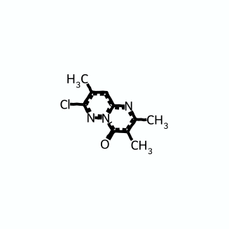 Cc1cc2nc(C)c(C)c(=O)n2nc1Cl